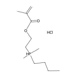 C=C(C)C(=O)OCC[PH](C)(C)CCCC.Cl